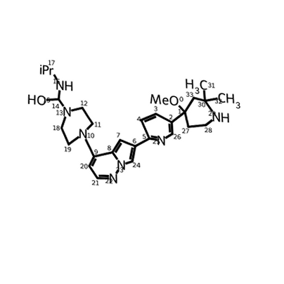 COC1(c2ccc(-c3cc4c(N5CCN(C(O)NC(C)C)CC5)ccnn4c3)nc2)CCNC(C)(C)C1